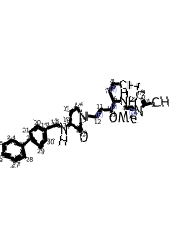 C=C(C)/N=C\NC(/C=C\C)=C(/C=C/N1CCC(NCc2ccc(-c3ccccc3)cc2)C1=O)OC